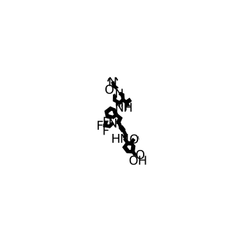 C=C(F)C1CN(CC(=O)N(C)C)CC[C@H]1Nc1cccc2c1cc(C#CCNc1ccc(C(=O)O)cc1OC)n2CC(F)(F)F